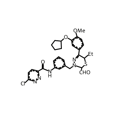 CCC1SC(C=O)N(Cc2cccc(NC(=O)c3ccc(Cl)nn3)c2)N=C1c1ccc(OC)c(OC2CCCC2)c1